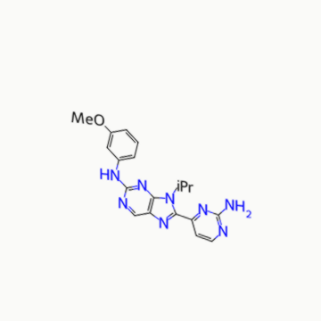 COc1cccc(Nc2ncc3nc(-c4ccnc(N)n4)n(C(C)C)c3n2)c1